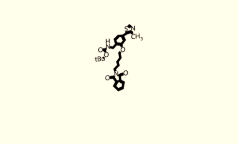 Cc1ncsc1-c1ccc(CNC(=O)OC(C)(C)C)c(OCCCCCN2C(=O)c3ccccc3C2=O)c1